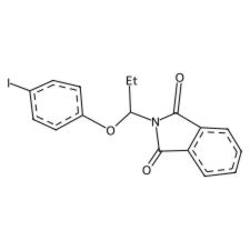 CCC(Oc1ccc(I)cc1)N1C(=O)c2ccccc2C1=O